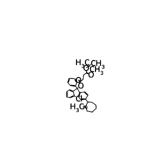 C[C@@H]1CCCCCC1c1ccc(C(OC(=O)CCC(=O)OC(C)(C)C)(c2ccccc2)c2ccccc2Cl)cc1